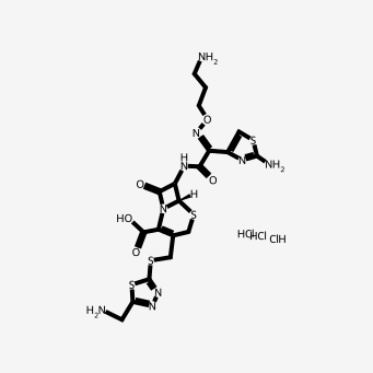 Cl.Cl.Cl.NCCCON=C(C(=O)NC1C(=O)N2C(C(=O)O)=C(CSc3nnc(CN)s3)CS[C@@H]12)c1csc(N)n1